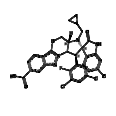 O=C(O)c1ccc2c3n(nc2c1)C1[C@H](CO3)N(CC2CC2)[C@@]2(C(=O)Nc3cc(Cl)ccc32)[C@H]1c1cc(Cl)cc(Cl)c1F